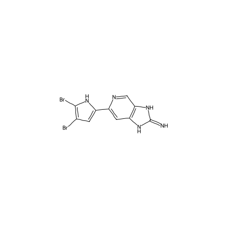 N=c1[nH]c2cnc(-c3cc(Br)c(Br)[nH]3)cc2[nH]1